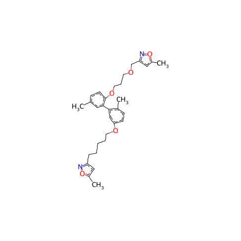 Cc1ccc(OCCCOCc2cc(C)on2)c(-c2cc(OCCCCCc3cc(C)on3)ccc2C)c1